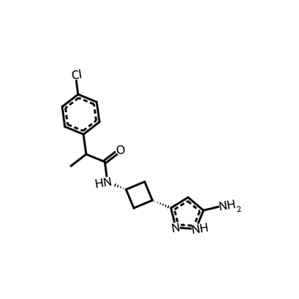 CC(C(=O)N[C@H]1C[C@@H](c2cc(N)[nH]n2)C1)c1ccc(Cl)cc1